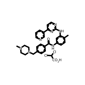 Cc1ccc(NC(=O)c2ccc(CN3CCN(C)CC3)cc2)cc1Nc1nccc(-c2cccnc2)n1.O=C(O)C(Cl)Cl